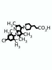 Cc1cc(N2CCC(CCC(=O)O)CC2)c2c(C)c(C)n(-c3c(C)cc(Cl)cc3C)c2n1